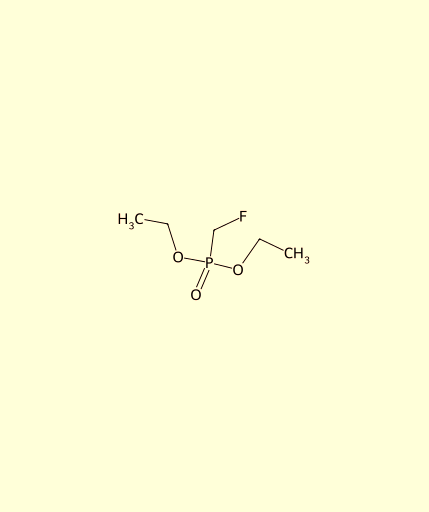 CCOP(=O)(CF)OCC